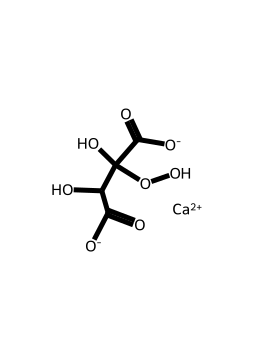 O=C([O-])C(O)C(O)(OO)C(=O)[O-].[Ca+2]